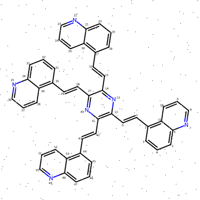 C(=C\c1cccc2ncccc12)/c1nc(/C=C/c2cccc3ncccc23)c(/C=C/c2cccc3ncccc23)nc1/C=C/c1cccc2ncccc12